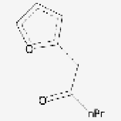 CCCC(=O)Cc1ccco1